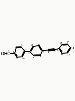 O=Cc1ccc(-c2ccc(C#Cc3ccccc3)cc2)cc1